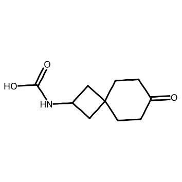 O=C1CCC2(CC1)CC(NC(=O)O)C2